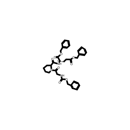 O=C(CC[C@H](NC(=O)C1CCCCN1C(=O)CNC(=O)OCc1ccccc1)C(=O)OCc1ccccc1)OCc1ccccc1